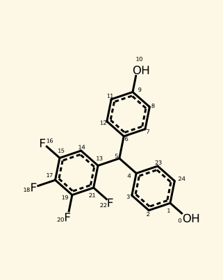 Oc1ccc(C(c2ccc(O)cc2)c2cc(F)c(F)c(F)c2F)cc1